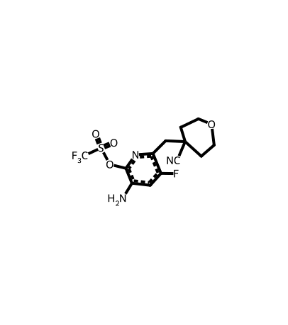 N#CC1(Cc2nc(OS(=O)(=O)C(F)(F)F)c(N)cc2F)CCOCC1